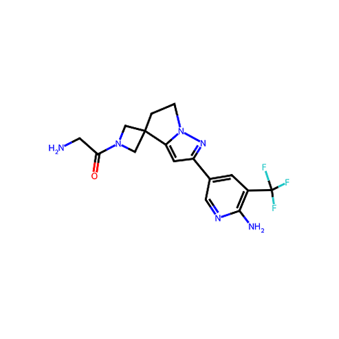 NCC(=O)N1CC2(CCn3nc(-c4cnc(N)c(C(F)(F)F)c4)cc32)C1